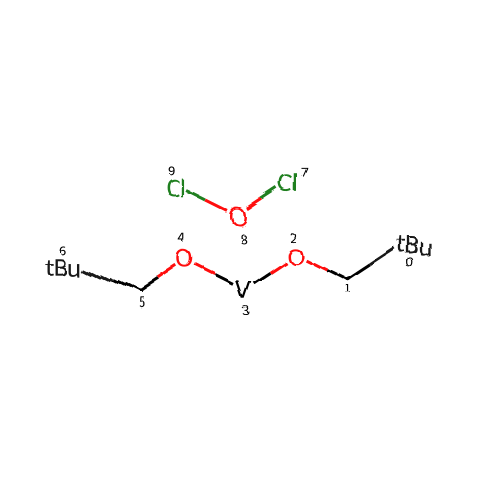 CC(C)(C)C[O][V][O]CC(C)(C)C.ClOCl